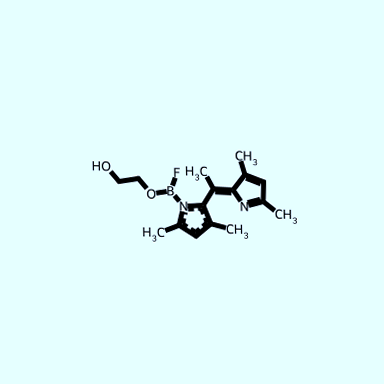 CC1=CC(C)=N/C1=C(/C)c1c(C)cc(C)n1B(F)OCCO